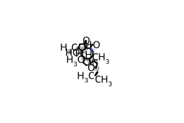 CC(C)=C[C@H]1C[C@H](C)[C@]2(CC[C@]3(C)C[C@H]4[C@H](C(=O)C[C@@]4(C)O)/C(C=O)=C\C[C@H]32)O1